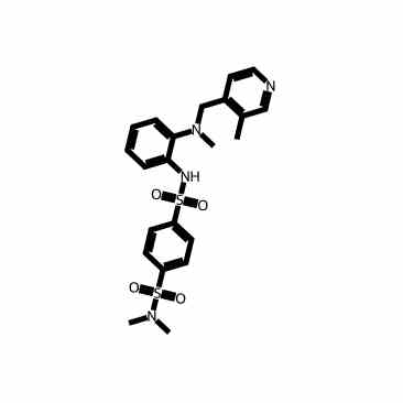 Cc1cnccc1CN(C)c1ccccc1NS(=O)(=O)c1ccc(S(=O)(=O)N(C)C)cc1